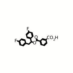 O=C(O)c1cccc(C(=O)OC(Cc2ccc(F)cc2)c2ccc(F)cc2)c1